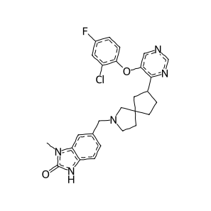 Cn1c(=O)[nH]c2ccc(CN3CCC4(CCC(c5ncncc5Oc5ccc(F)cc5Cl)C4)C3)cc21